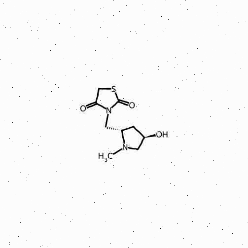 CN1C[C@H](O)C[C@H]1CN1C(=O)CSC1=O